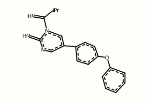 CC(C)C(=N)n1cc(-c2ccc(Oc3ccccc3)cc2)cnc1=N